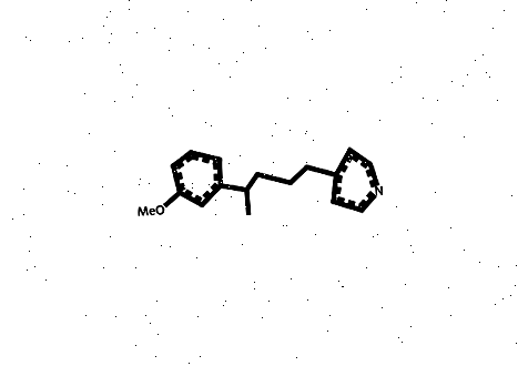 COc1cccc(C(C)CCCc2ccncc2)c1